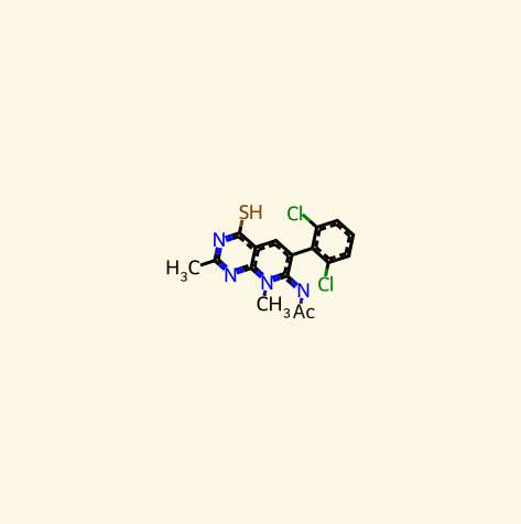 CC(=O)N=c1c(-c2c(Cl)cccc2Cl)cc2c(S)nc(C)nc2n1C